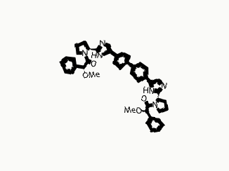 CO[C@@H](C(=O)N1CCC[C@H]1c1ncc(-c2ccc(-c3ccc(-c4cnc([C@@H]5CCCN5C(=O)[C@H](OC)c5ccccc5)[nH]4)cc3)cc2)[nH]1)c1ccccc1